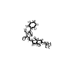 CCNc1cc2sc(/C=C3\N=C(c4ccccc4)N(C)C3=O)cc2s1